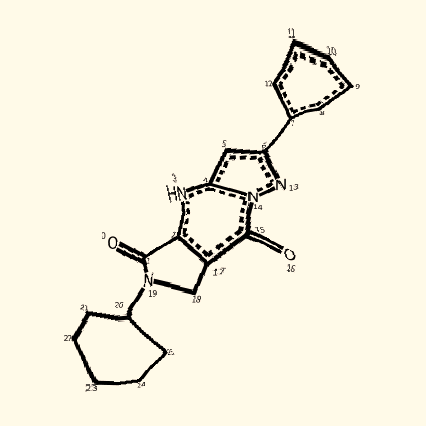 O=C1c2[nH]c3cc(-c4ccccc4)nn3c(=O)c2CN1C1CCCCC1